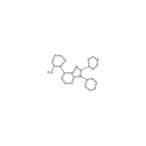 O=[N+]([O-])c1ccccc1-c1cccc2c1nc(-c1ccncc1)n2-c1ccccc1